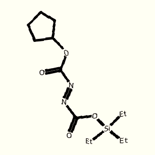 CC[Si](CC)(CC)OC(=O)N=NC(=O)OC1CCCC1